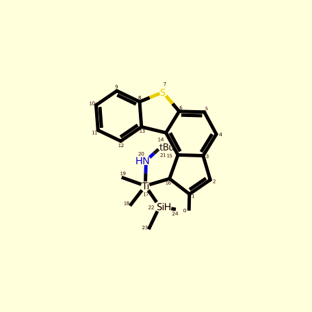 CC1=Cc2ccc3sc4ccccc4c3c2[CH]1[Ti]([CH3])([CH3])([NH]C(C)(C)C)[SiH](C)C